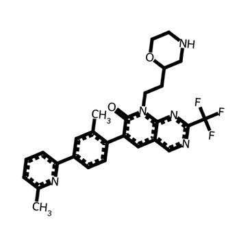 Cc1cccc(-c2ccc(-c3cc4cnc(C(F)(F)F)nc4n(CCC4CNCCO4)c3=O)c(C)c2)n1